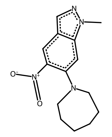 Cn1ncc2cc([N+](=O)[O-])c(N3CCCCCC3)cc21